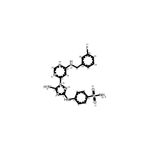 Nc1nc(Nc2ccc(S(N)(=O)=O)cc2)nn1-c1cc(NCc2cccc(F)c2)ncn1